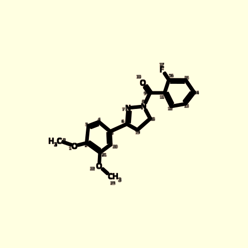 COc1ccc(C2=NN(C(=O)c3ccccc3F)CC2)cc1OC